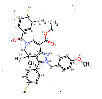 CCOC(=O)C1=CN(C(=O)C2=CC(C)C(F)C(F)=C2)CC(C)(C)c2c1nn(Cc1ccc(OC)cc1)c2-c1ccc(F)cc1